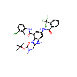 Cc1c(Cl)cccc1NC(=O)c1cc(NC(=O)c2ccccc2C(F)(F)F)cc2[nH]c(CN(C)C(=O)OC(C)(C)C)nc12